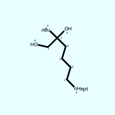 CCCCCCCCCCCC(O)(CO)CCCC